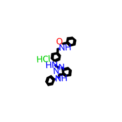 Cl.O=C(NCc1ccc(Nc2nc(Nc3ccccc3)c3ccccc3n2)cc1)c1ccccc1